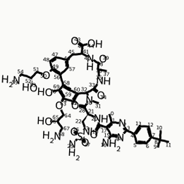 Cc1nc(-c2ccc(C(C)(C)C)cc2)nc(N)c1C(=O)N[C@@H](CNS(N)(=O)=O)C(=O)N(C)C1C(=O)NC(C)C(=O)NC(C(=O)O)Cc2ccc(OC[C@H](O)CN)c(c2)-c2cc1cc(OC[C@H](O)CN)c2O